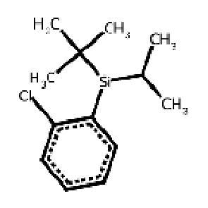 CC(C)[Si](c1ccccc1Cl)C(C)(C)C